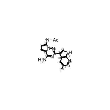 CC(=O)Nc1ccc2c(N)nc(-c3c[nH]c4ncc(F)cc34)nn12